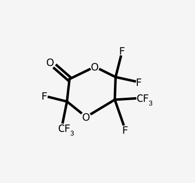 O=C1OC(F)(F)C(F)(C(F)(F)F)OC1(F)C(F)(F)F